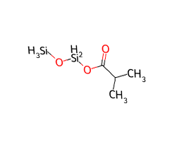 CC(C)C(=O)O[SiH2]O[SiH3]